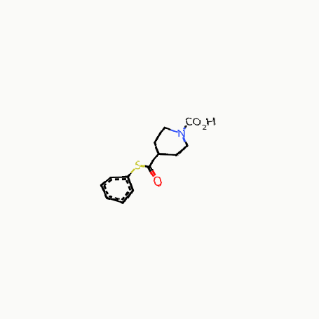 O=C(Sc1ccccc1)C1CCN(C(=O)O)CC1